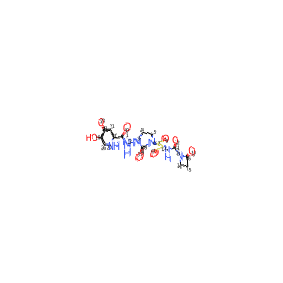 O=C(NN1CCN(S(=O)(=O)NC(=O)N2CCC2=O)C1=O)c1cc(=O)c(O)c[nH]1